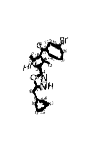 Cc1[nH]c(C2=NNC(Cc3ccccc3)O2)c(C)c1C(=O)c1cccc(Br)c1